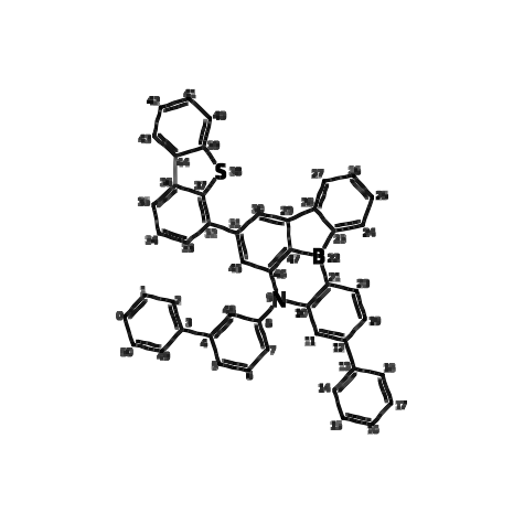 c1ccc(-c2cccc(N3c4cc(-c5ccccc5)ccc4B4c5ccccc5-c5cc(-c6cccc7c6sc6ccccc67)cc3c54)c2)cc1